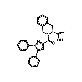 O=C(O)[C@@H]1Cc2ccccc2CN1C(=O)c1cc(-c2ccccc2)n(-c2ccccc2)n1